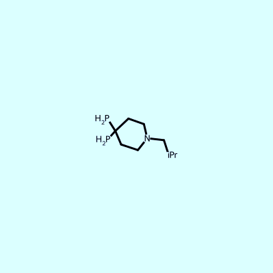 CC(C)CN1CCC(P)(P)CC1